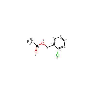 O=C(OCc1ccccc1Cl)C(F)(F)F